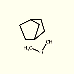 C1CC2CCC1C2.COC